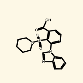 O=C(O)c1cccc(-n2cnc3ccccc32)c1S(=O)(=O)N1CCCCC1